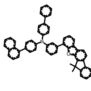 CC1(C)c2ccccc2-c2ccc3c(oc4c(-c5cccc(N(c6ccc(-c7ccccc7)cc6)c6ccc(-c7cccc8ccccc78)cc6)c5)cccc43)c21